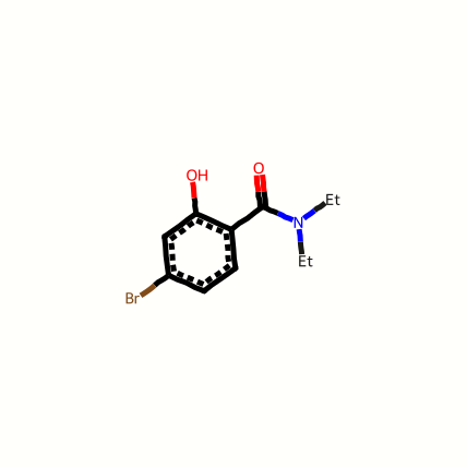 CCN(CC)C(=O)c1ccc(Br)cc1O